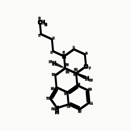 CCCCN1CCO[C@@H]2c3cccc4[nH]cc(c34)C[C@H]21